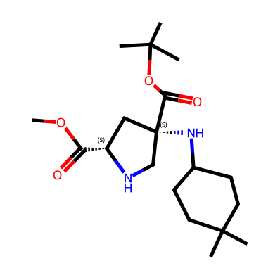 COC(=O)[C@@H]1C[C@@](NC2CCC(C)(C)CC2)(C(=O)OC(C)(C)C)CN1